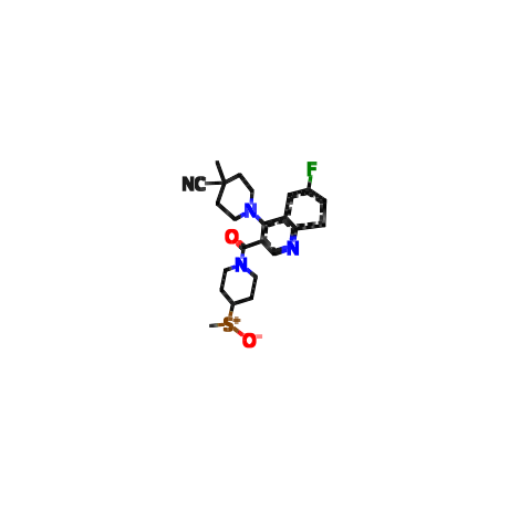 C[S+]([O-])C1CCN(C(=O)c2cnc3ccc(F)cc3c2N2CCC(C)(C#N)CC2)CC1